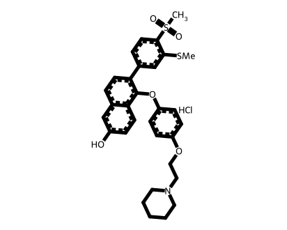 CSc1cc(-c2ccc3cc(O)ccc3c2Oc2ccc(OCCN3CCCCC3)cc2)ccc1S(C)(=O)=O.Cl